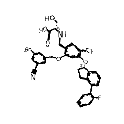 N#Cc1cc(Br)cc(COc2cc(O[C@H]3CCc4c(-c5ccccc5F)cccc43)c(Cl)cc2CN[C@@H](CO)C(=O)O)c1